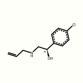 C=CCNC[C@H](O)c1ccc(Cl)cc1